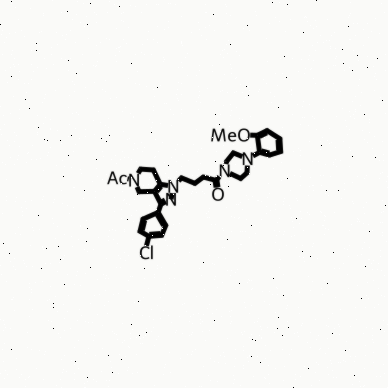 COc1ccccc1N1CCN(C(=O)CCCn2nc(-c3ccc(Cl)cc3)c3c2CCN(C(C)=O)C3)CC1